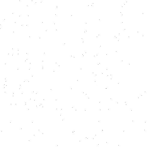 COc1ccc(C(=O)Cl)c(CO)c1